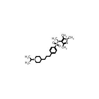 Cc1nn(C)c(C)c1N(C)S(=O)(=O)c1ccc(CCCC2CCN(C(C)C)CC2)cc1